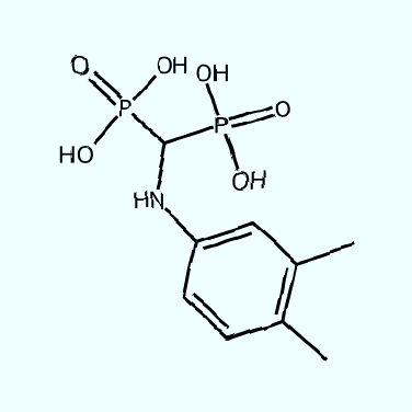 Cc1ccc(NC(P(=O)(O)O)P(=O)(O)O)cc1C